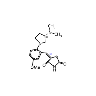 COc1ccc(N2CC[C@H](N(C)C)C2)c(/C=C2/SC(=O)NC2=O)c1